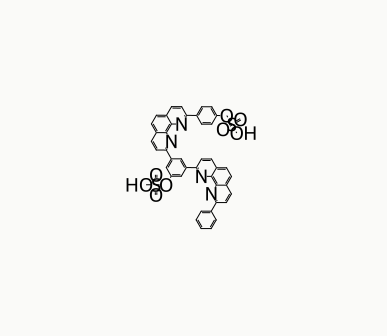 O=S(=O)(O)Oc1ccc(-c2ccc3ccc4ccc(-c5cc(OS(=O)(=O)O)cc(-c6ccc7ccc8ccc(-c9ccccc9)nc8c7n6)c5)nc4c3n2)cc1